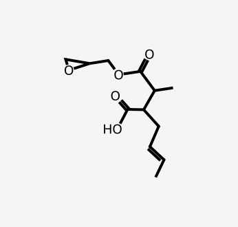 CC=CCC(C(=O)O)C(C)C(=O)OCC1CO1